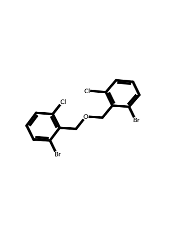 Clc1cccc(Br)c1COCc1c(Cl)cccc1Br